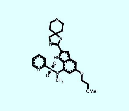 COCCOc1cc(N(C)S(=O)(=O)c2ccccn2)c2[nH]c(C3=NCC4(CCSCC4)S3)cc2c1